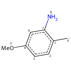 [CH2]c1ccc(OC)cc1N